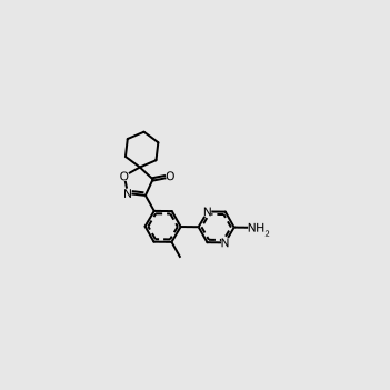 Cc1ccc(C2=NOC3(CCCCC3)C2=O)cc1-c1cnc(N)cn1